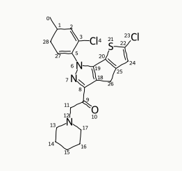 CC1C=C(Cl)C(n2nc(C(=O)CN3CCCCC3)c3c2-c2sc(Cl)cc2C3)=CC1